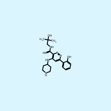 CC(C)(O)CNC(=N)c1nnc(-c2ccccc2O)cc1NC1CCNCC1